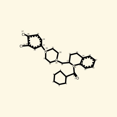 O=C(C1CCCCC1)N1c2ccccc2CCC1CN1CCN(c2ccc(Cl)c(Cl)c2)CC1